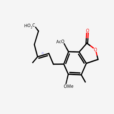 COc1c(C)c2c(c(OC(C)=O)c1C/C=C(\C)CCC(=O)O)C(=O)OC2